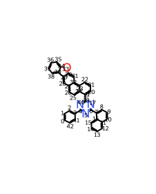 c1ccc(-c2nc(-c3cccc4ccccc34)nc(-c3cccc4c3ccc3cc5c(cc34)oc3ccccc35)n2)cc1